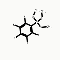 CO[Si](OC)(OC)c1c(F)c(F)c(F)c(F)c1F